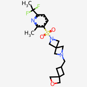 Cc1nc(C(C)(F)F)ccc1S(=O)(=O)N1CC2(CN(CC3CC4(COC4)C3)C2)C1